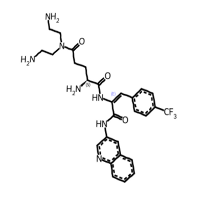 NCCN(CCN)C(=O)CC[C@H](N)C(=O)N/C(=C/c1ccc(C(F)(F)F)cc1)C(=O)Nc1cnc2ccccc2c1